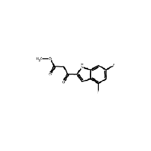 COC(=O)CC(=O)c1cc2c(F)cc(F)cc2[nH]1